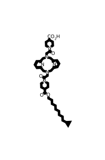 O=C(O)C1CCN(C(=O)CN2Cc3cccc(n3)CN(CC(=O)N3CCC(C(=O)OCCCCCCCCCC4=CC4)CC3)Cc3cccc(n3)C2)CC1